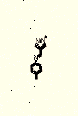 Cc1ccc(/N=C/c2cnn(C)c2)cc1